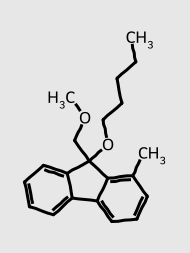 CCCCCOC1(COC)c2ccccc2-c2cccc(C)c21